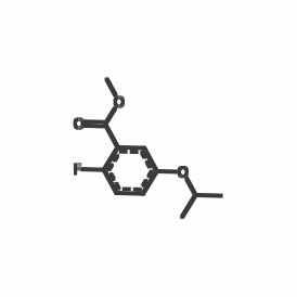 COC(=O)c1cc(OC(C)C)ccc1F